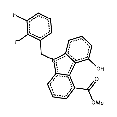 COC(=O)c1cccc2c1c1c(O)cccc1n2Cc1cccc(F)c1F